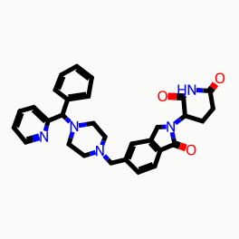 O=C1CCC(N2Cc3cc(CN4CCN(C(c5ccccc5)c5ccccn5)CC4)ccc3C2=O)C(=O)N1